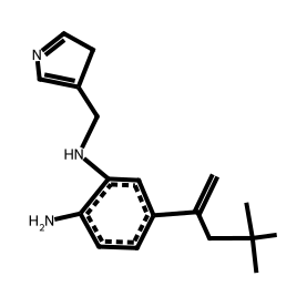 C=C(CC(C)(C)C)c1ccc(N)c(NCC2=CN=CC2)c1